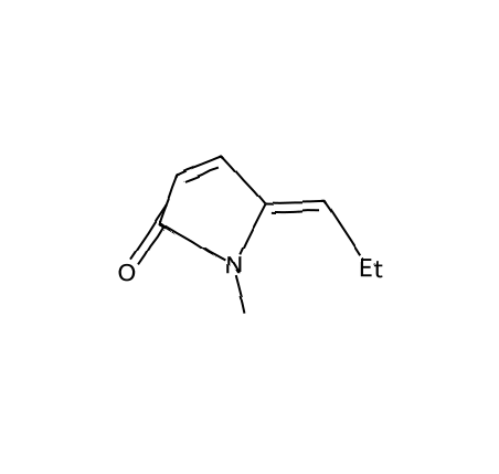 CC/C=C1/C=CC(=O)N1C